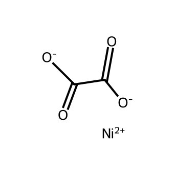 O=C([O-])C(=O)[O-].[Ni+2]